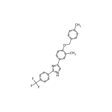 Cc1ccc(COc2ccc(-c3c[nH]c(-c4ccc(C(F)(F)F)cc4)n3)cc2C)cc1